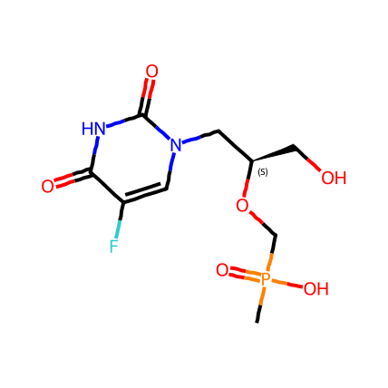 CP(=O)(O)CO[C@H](CO)Cn1cc(F)c(=O)[nH]c1=O